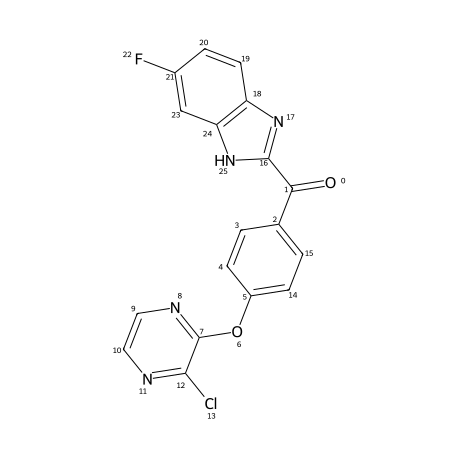 O=C(c1ccc(Oc2nccnc2Cl)cc1)c1nc2ccc(F)cc2[nH]1